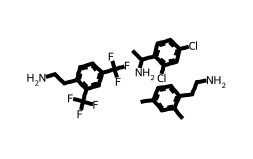 CC(N)c1ccc(Cl)cc1Cl.Cc1ccc(CCN)c(C)c1.NCCc1ccc(C(F)(F)F)cc1C(F)(F)F